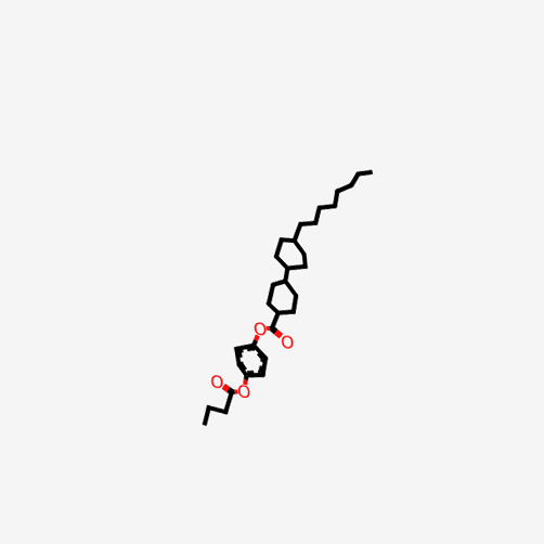 CCCCCCCCC1CCC(C2CCC(C(=O)Oc3ccc(OC(=O)CCC)cc3)CC2)CC1